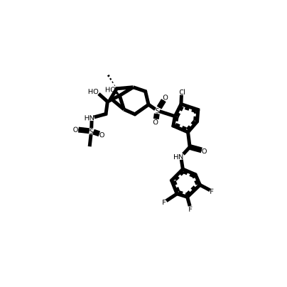 C[C@H]1CC2CC(S(=O)(=O)c3cc(C(=O)Nc4cc(F)c(F)c(F)c4)ccc3Cl)CC1[C@@]2(O)C(O)CNS(C)(=O)=O